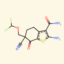 N#CC1(COC(F)F)CCc2c(sc(N)c2C(N)=O)C1=O